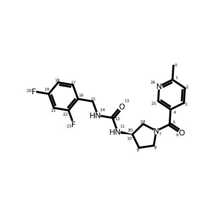 Cc1ccc(C(=O)N2CC[C@@H](NC(=O)NCc3ccc(F)cc3F)C2)cn1